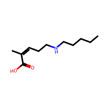 CCCCCNCCC=C(C)C(=O)O